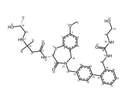 COc1ccc2c(c1)S[C@@H](NC(=O)CC(C)(C)NC[C@@H](C)O)C(=O)N(Cc1ccc(-c3ccccc3CNC(=O)NCCO)cc1)C2